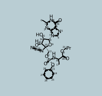 Cc1nc2c(ncn2[C@@H]2O[C@@](COP(=O)(NC(C)C(=O)OC(C)C)Oc3ccccc3)(N=[N+]=[N-])[C@@H](O)[C@H]2O)c(=O)[nH]1